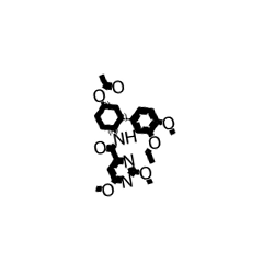 CCOc1cc([C@H]2C[C@H](OC(C)=O)CC[C@H]2NC(=O)c2cc(OC)nc(OC)n2)ccc1OC